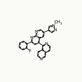 Cn1cc(-c2cnc3nc(-c4ccccc4F)cc(-c4nccc5cnccc45)c3c2)cn1